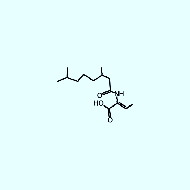 C/C=C(\NC(=O)CC(C)CCCC(C)C)C(=O)O